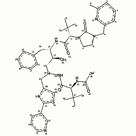 Cc1cccc(CN2CCN([C@H](C(=O)N[C@@H](Cc3ccccc3)[C@@H](O)CN(Cc3csc(-c4cccnc4)n3)NC(=O)[C@@H](NC(=O)O)C(C)(C)C)C(C)(C)C)C2=O)n1